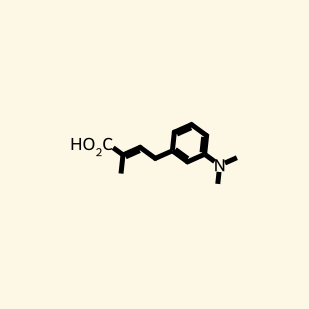 CC(=CCc1cccc(N(C)C)c1)C(=O)O